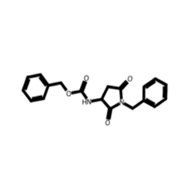 O=C(NC1CC(=O)N(Cc2ccccc2)C1=O)OCc1ccccc1